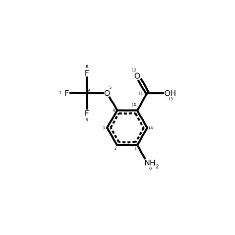 Nc1ccc(OC(F)(F)F)c(C(=O)O)c1